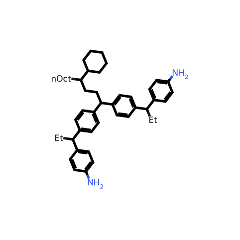 CCCCCCCCC(CCC(c1ccc(C(CC)c2ccc(N)cc2)cc1)c1ccc(C(CC)c2ccc(N)cc2)cc1)C1CCCCC1